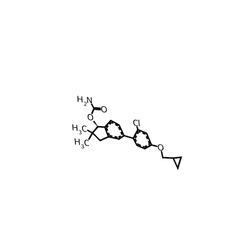 CC1(C)Cc2cc(-c3ccc(OCC4CC4)cc3Cl)ccc2[C@@H]1OC(N)=O